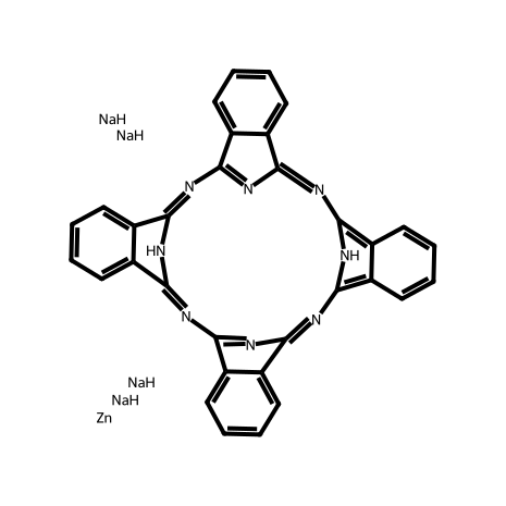 [NaH].[NaH].[NaH].[NaH].[Zn].c1ccc2c(c1)-c1nc-2nc2[nH]c(nc3nc(nc4[nH]c(n1)c1ccccc41)-c1ccccc1-3)c1ccccc21